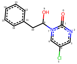 O=c1ncc(Cl)cn1C(O)Cc1ccccc1